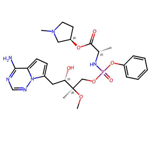 CO[C@](C)(COP(=O)(N[C@@H](C)C(=O)O[C@@H]1CCN(C)C1)Oc1ccccc1)[C@@H](O)Cc1ccc2c(N)ncnn12